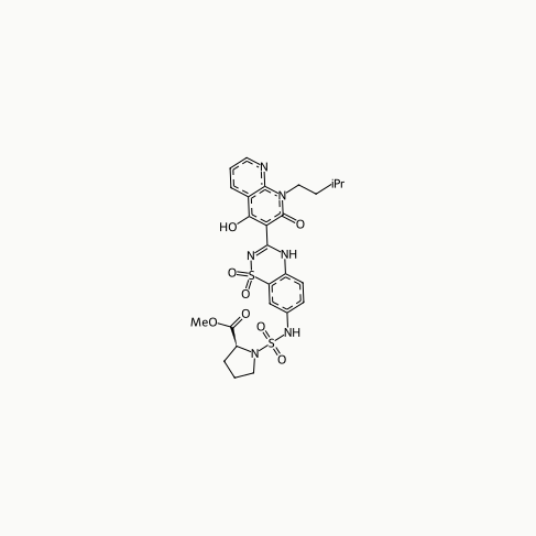 COC(=O)[C@@H]1CCCN1S(=O)(=O)Nc1ccc2c(c1)S(=O)(=O)N=C(c1c(O)c3cccnc3n(CCC(C)C)c1=O)N2